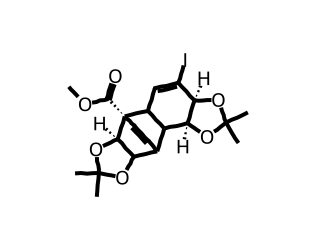 COC(=O)[C@]12C=CC(C3OC(C)(C)O[C@H]31)C1C2C=C(I)[C@H]2OC(C)(C)O[C@@H]12